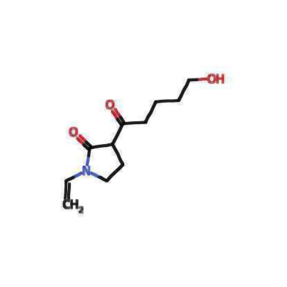 C=CN1CCC(C(=O)CCCCO)C1=O